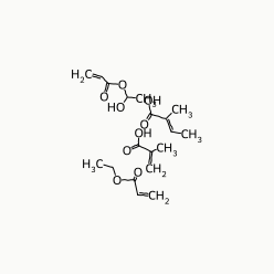 C/C=C(\C)C(=O)O.C=C(C)C(=O)O.C=CC(=O)OC(C)O.C=CC(=O)OCC